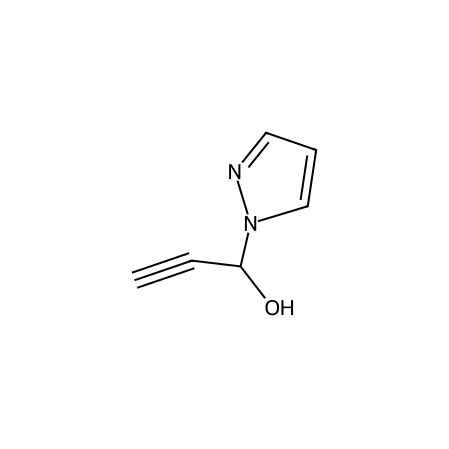 C#CC(O)n1cccn1